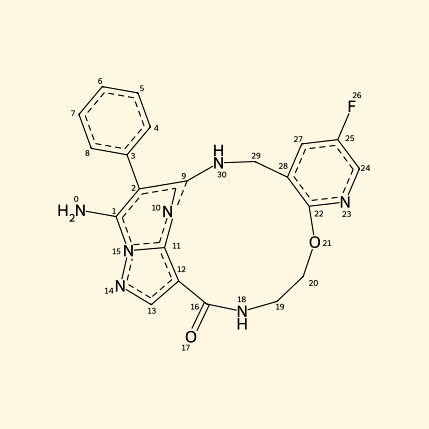 Nc1c(-c2ccccc2)c2nc3c(cnn13)C(=O)NCCOc1ncc(F)cc1CN2